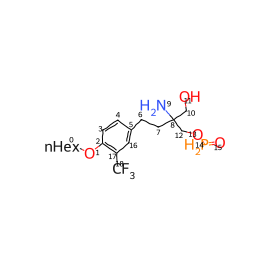 CCCCCCOc1ccc(CCC(N)(CO)CO[PH2]=O)cc1C(F)(F)F